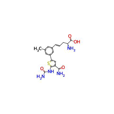 Cc1cc(C=CC[C@H](N)C(=O)O)cc(-c2cc(C(N)=O)c(NC(N)=O)s2)c1